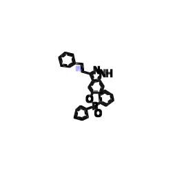 O=P(Oc1ccc2[nH]nc(/C=C/c3ccccc3)c2c1)(c1ccccc1)c1ccccc1